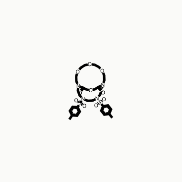 Cc1ccc(S(=O)(=O)N2CCN3CCOCCOCCOCCN(CCN(S(=O)(=O)c4ccc(C)cc4)CC2)C(=O)COCC3=O)cc1